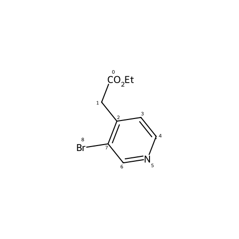 CCOC(=O)Cc1c[c]ncc1Br